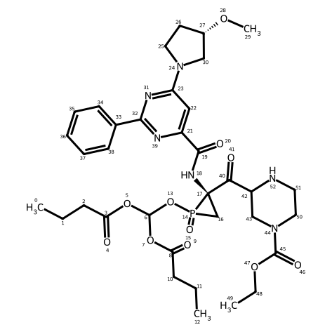 CCCC(=O)OC(OC(=O)CCC)OP1(=O)C[C@@]1(NC(=O)c1cc(N2CC[C@H](OC)C2)nc(-c2ccccc2)n1)C(=O)C1CN(C(=O)OCC)CCN1